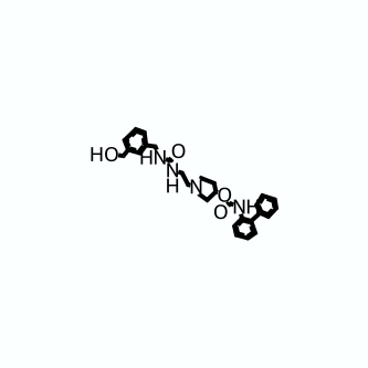 O=C(NCCN1CCC(OC(=O)Nc2ccccc2-c2ccccc2)CC1)NCc1cccc(CO)c1